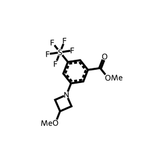 COC(=O)c1cc(N2CC(OC)C2)cc(S(F)(F)(F)(F)F)c1